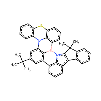 CC(C)(C)c1cc2c3c(c1)N1c4ccccc4Sc4cccc(c41)B3n1c3c(c4cccc-2c41)-c1ccccc1C3(C)C